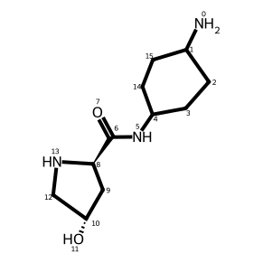 NC1CCC(NC(=O)[C@H]2C[C@H](O)CN2)CC1